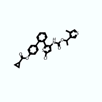 Cc1cscc1C(C)OC(=O)Nc1cc(Cl)sc1-c1ccccc1-c1ccc(OC(=O)C2CC2)cc1